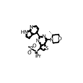 CC(C)N(c1csc2c(N3CCOC[C@H]3C)nc(-c3ccnc4[nH]ccc34)nc12)S(C)(=O)=O